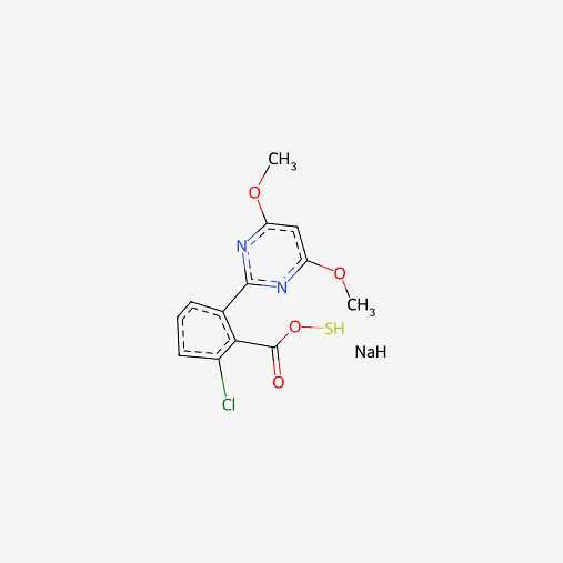 COc1cc(OC)nc(-c2cccc(Cl)c2C(=O)OS)n1.[NaH]